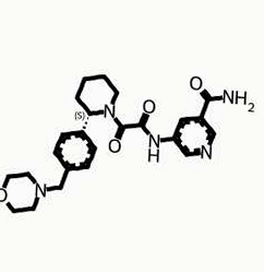 NC(=O)c1cncc(NC(=O)C(=O)N2CCCC[C@H]2c2ccc(CN3CCOCC3)cc2)c1